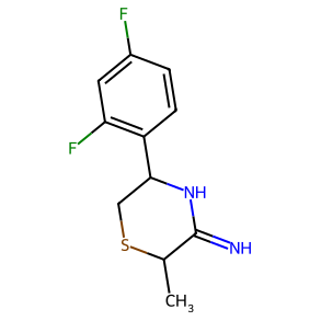 CC1SCC(c2ccc(F)cc2F)NC1=N